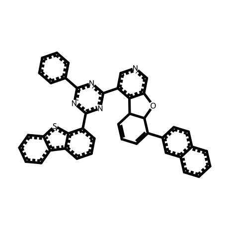 C1=CC2c3c(cncc3-c3nc(-c4ccccc4)nc(-c4cccc5c4sc4ccccc45)n3)OC2C(c2ccc3ccccc3c2)=C1